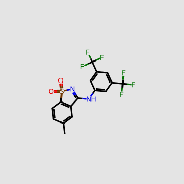 Cc1ccc2c(c1)C(Nc1cc(C(F)(F)F)cc(C(F)(F)F)c1)=NS2(=O)=O